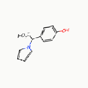 O=C(O)C(c1ccc(O)cc1)n1cccc1